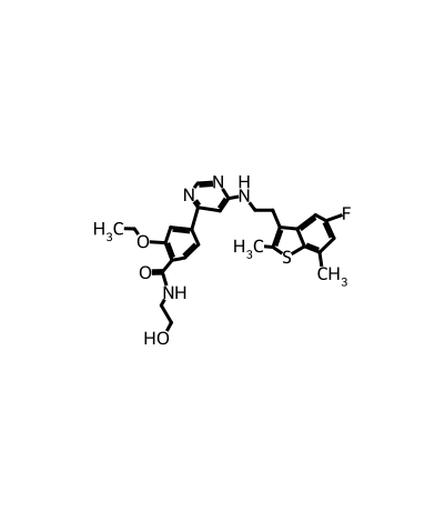 CCOc1cc(-c2cc(NCCc3c(C)sc4c(C)cc(F)cc34)ncn2)ccc1C(=O)NCCO